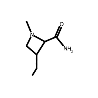 CCC1CN(C)C1C(N)=O